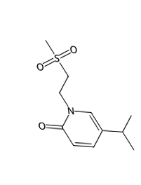 CC(C)c1ccc(=O)n(CCS(C)(=O)=O)c1